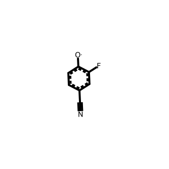 N#Cc1ccc([O])c(F)c1